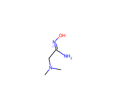 CN(C)C/C(N)=N/O